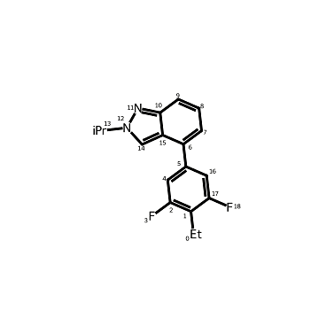 CCc1c(F)cc(-c2cccc3nn(C(C)C)cc23)cc1F